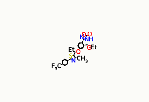 CCOCc1cc(OC(CC)c2sc(-c3ccc(C(F)(F)F)cc3)nc2C)ccc1-c1noc(=O)[nH]1